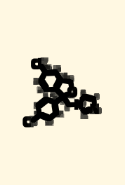 Clc1ccc(C2(Cn3ccnc3)OCc3cc(Cl)ccc32)cc1